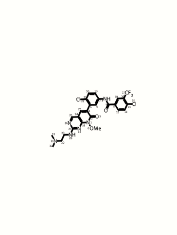 COn1c(=O)c(-c2cc(NC(=O)c3ccc(Cl)c(C(F)(F)F)c3)ccc2Cl)cc2cnc(NCCN(C)C)nc21